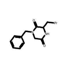 CC(C)CC1NC(=O)CN(Cc2ccccc2)C1=O